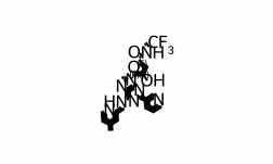 Cc1ccnc(CNc2nc(-c3cccnc3)nc3c2ncn3[C@@H]2O[C@H](C(=O)NCC(F)(F)F)C[C@H]2O)c1